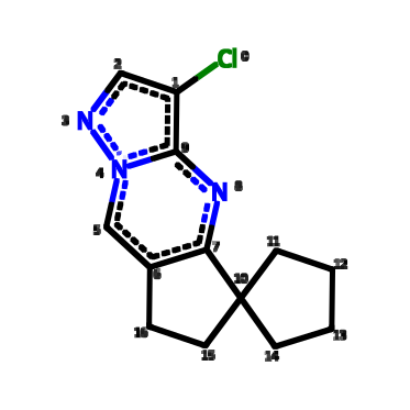 Clc1cnn2cc3c(nc12)C1(CCCC1)CC3